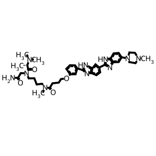 C[C@@H](C(=O)N(CCCCN(C)C(=O)CCCOc1cccc(-c2nc3ccc(-c4nc5cc(N6CCN(C)CC6)ccc5[nH]4)cc3[nH]2)c1)CC(N)=O)N(C)C